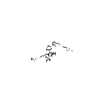 CCCCCCc1ccc(-c2ccnc(-c3[nH]nc(C(F)(F)F)c3CCCCCC)c2)s1